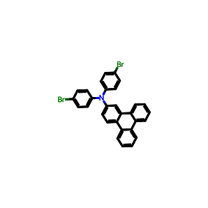 Brc1ccc(N(c2ccc(Br)cc2)c2ccc3c4ccccc4c4ccccc4c3c2)cc1